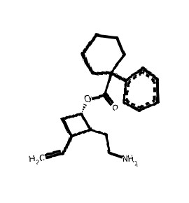 C=CC1C[C@H](OC(=O)C2(c3ccccc3)CCCCC2)C1CCN